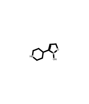 OB1OCC=C1C1CCNCC1